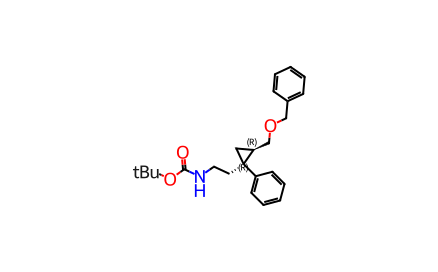 CC(C)(C)OC(=O)NCC[C@]1(c2ccccc2)C[C@H]1COCc1ccccc1